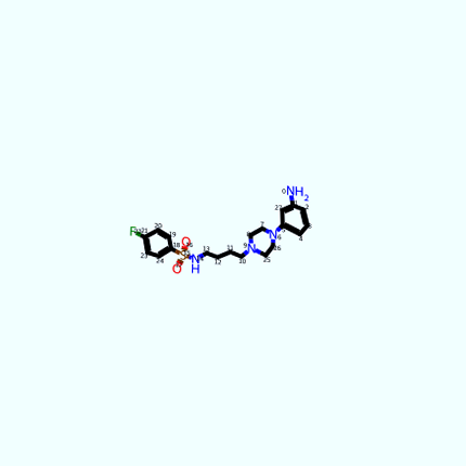 Nc1cccc(N2CCN(CCCCNS(=O)(=O)c3ccc(F)cc3)CC2)c1